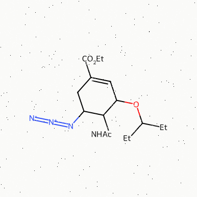 CCOC(=O)C1=CC(OC(CC)CC)C(NC(C)=O)C(N=[N+]=[N-])C1